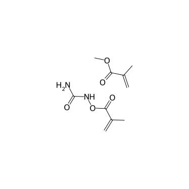 C=C(C)C(=O)OC.C=C(C)C(=O)ONC(N)=O